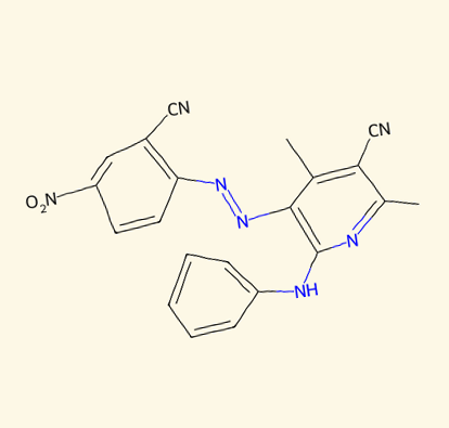 Cc1nc(Nc2ccccc2)c(N=Nc2ccc([N+](=O)[O-])cc2C#N)c(C)c1C#N